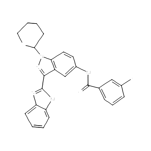 O=C(Nc1ccc2c(c1)c(-c1nc3ccccc3[nH]1)nn2C1CCCCO1)c1cccc(F)c1